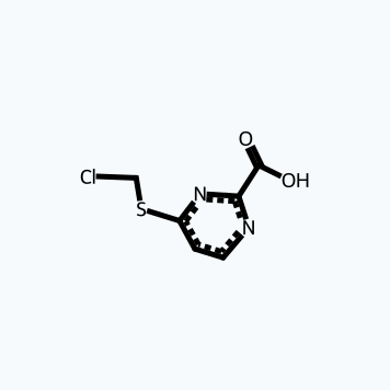 O=C(O)c1nccc(SCCl)n1